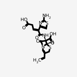 C=CC1=CN2C(=O)[C@](NC(=O)C(=CCC(=O)O)c3csc(N)n3)(C(=O)O)[C@@H]2SC1